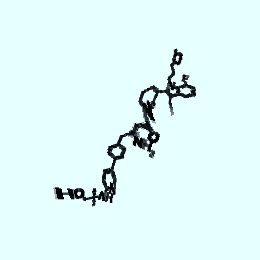 COCCCn1c(C2CCCN(C(=O)C[C@H](N)Cc3ccc(-c4ccc(NC(C)(C)CO)nc4)cc3)C2)c(C)c2cccc(F)c21